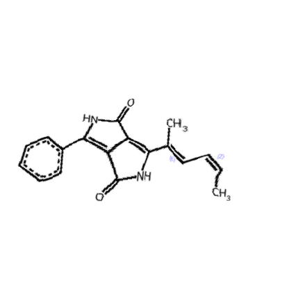 C/C=C\C=C(/C)C1=C2C(=O)NC(c3ccccc3)=C2C(=O)N1